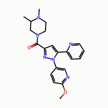 COc1ccc(-n2nc(C(=O)N3CCN(C)C(C)C3)cc2-c2ccccn2)cn1